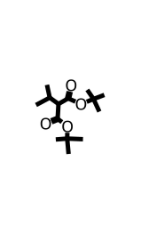 CC(C)C(C(=O)OC(C)(C)C)C(=O)OC(C)(C)C